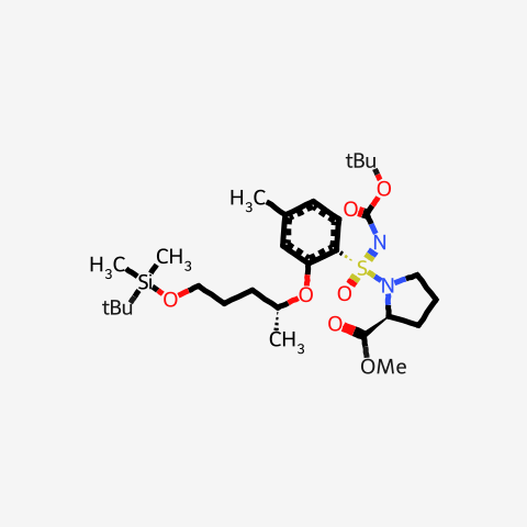 COC(=O)[C@@H]1CCCN1[S@@](=O)(=NC(=O)OC(C)(C)C)c1ccc(C)cc1O[C@H](C)CCCO[Si](C)(C)C(C)(C)C